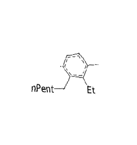 CCCCCCc1[c]ccc(C)c1CC